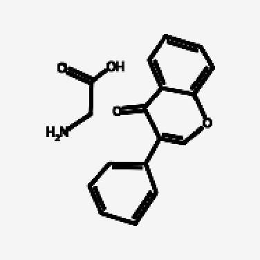 NCC(=O)O.O=c1c(-c2ccccc2)coc2ccccc12